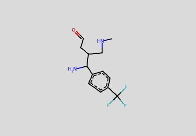 CNCC(CC=O)C(N)c1ccc(C(F)(F)F)cc1